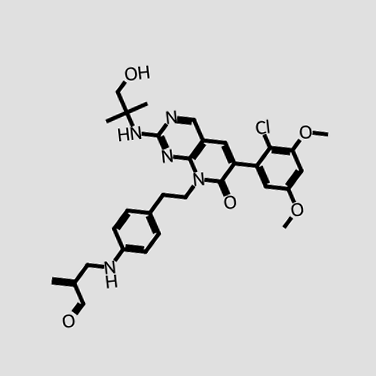 C=C(C=O)CNc1ccc(CCn2c(=O)c(-c3cc(OC)cc(OC)c3Cl)cc3cnc(NC(C)(C)CO)nc32)cc1